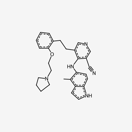 Cc1c(Nc2c(C#N)cncc2CCc2ccccc2OCCN2CCCC2)ccc2[nH]ccc12